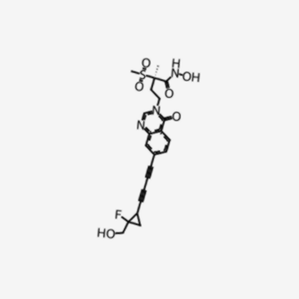 C[C@@](CCn1cnc2cc(C#CC#CC3CC3(F)CO)ccc2c1=O)(C(=O)NO)S(C)(=O)=O